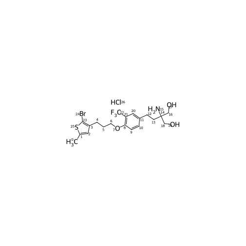 Cc1cc(CCCOc2ccc(CCC(N)(CO)CO)cc2C(F)(F)F)c(Br)s1.Cl